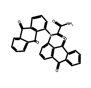 NC(=O)C(=O)N(c1cccc2c1C(=O)c1ccccc1C2=O)c1cccc2c1C(=O)c1ccccc1C2=O